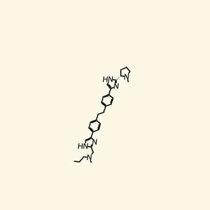 CCCN(C)Cc1nc(-c2ccc(CCc3ccc(-c4c[nH]c([C@@H]5CCCN5C)n4)cc3)cc2)c[nH]1